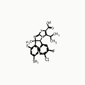 CC(C)C1=C(C(=O)O)SC2=NC(C)(c3ccc(N)cc3F)C(c3ccc(Cl)c(F)c3)N21